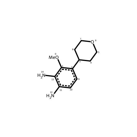 COc1c(C2CCOCC2)ccc(N)c1N